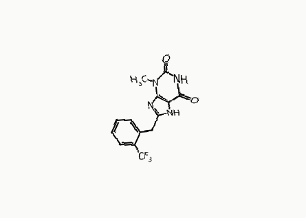 Cn1c(=O)[nH]c(=O)c2[nH]c(Cc3ccccc3C(F)(F)F)nc21